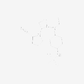 CCN(C1CCC(NS(C)(=O)=O)CC1)N1OCC1N1CSCC1C#N